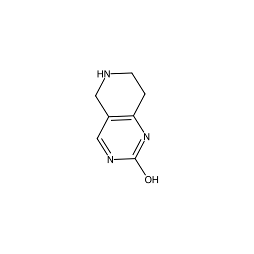 Oc1ncc2c(n1)CCNC2